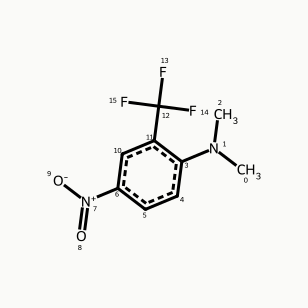 CN(C)c1ccc([N+](=O)[O-])cc1C(F)(F)F